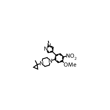 COc1cc(N2CCN(C3(C)CC3)CC2)c(-c2cnn(C)c2)cc1[N+](=O)[O-]